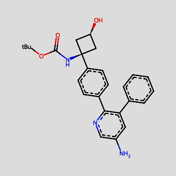 CC(C)(C)OC(=O)N[C@]1(c2ccc(-c3ncc(N)cc3-c3ccccc3)cc2)C[C@H](O)C1